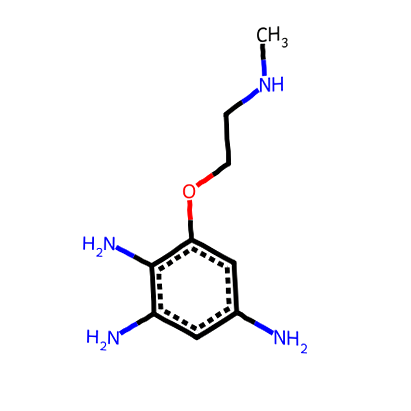 CNCCOc1cc(N)cc(N)c1N